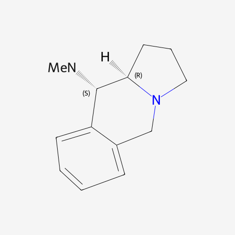 CN[C@H]1c2ccccc2CN2CCC[C@H]12